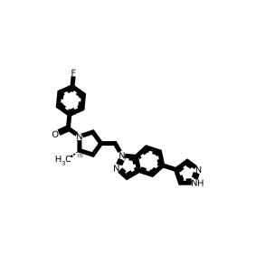 C[C@H]1CC(Cn2ncc3cc(-c4cn[nH]c4)ccc32)CN1C(=O)c1ccc(F)cc1